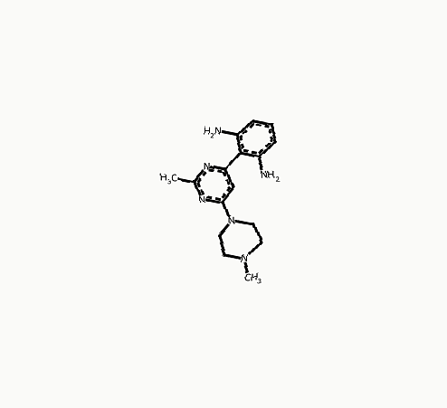 Cc1nc(-c2c(N)cccc2N)cc(N2CCN(C)CC2)n1